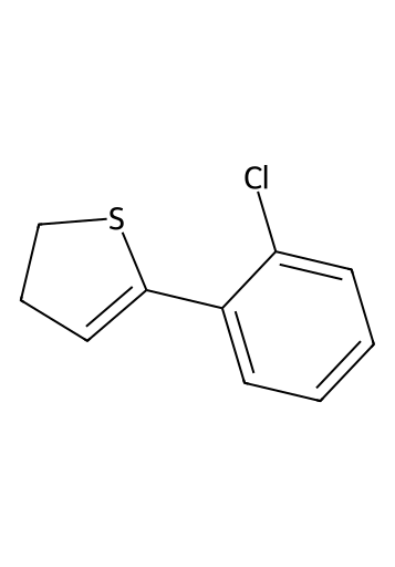 Clc1ccccc1C1=CCCS1